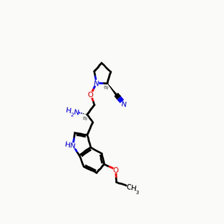 CCOc1ccc2[nH]cc(C[C@H](N)CON3CCC[C@H]3C#N)c2c1